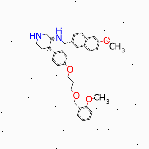 COc1ccc2cc(CN[C@H]3CNCC[C@H]3c3ccc(OCCCOCc4ccccc4OC)cc3)ccc2c1